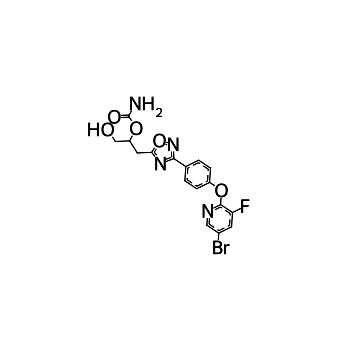 NC(=O)OC(CO)Cc1nc(-c2ccc(Oc3ncc(Br)cc3F)cc2)no1